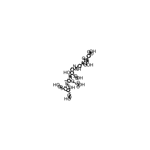 Cc1cc(/N=N/c2c(SOOO)cc3c(ccc4nc(-c5ccc(/N=N/C6C(=O)N(c7ccc(S(=O)(=O)O)cc7)N=C6C(=O)O)cc5)[nH]c43)c2O)c(OCCCS(=O)(=O)O)cc1/N=N/c1cc(SOOO)cc2cc(SOOO)cc(O)c12